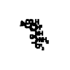 CC([C@H](N)C(=O)Nc1cc(CC2(C(=O)O)CC2)ccc1F)C(F)(F)F